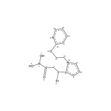 CCC(CC(=O)N(O)O)c1cccn1CCOc1ccccn1